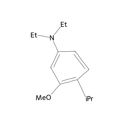 CCN(CC)c1ccc(C(C)C)c(OC)c1